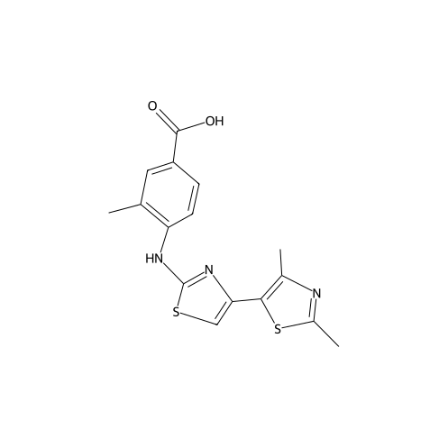 Cc1nc(C)c(-c2csc(Nc3ccc(C(=O)O)cc3C)n2)s1